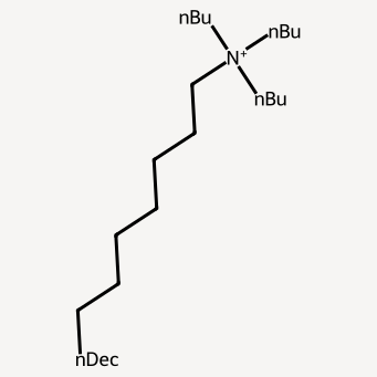 CCCCCCCCCCCCCCCCC[N+](CCCC)(CCCC)CCCC